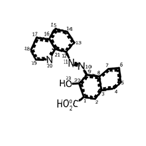 O=C(O)c1cc2ccccc2c(/N=N/c2cccc3cccnc23)c1O